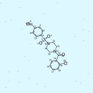 CC(C)(C)c1ccc(S(=O)(=O)N2CCN(C(=O)c3ccccc3Cl)CC2)cc1